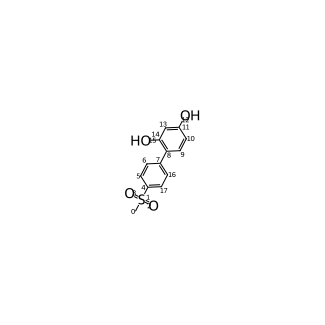 CS(=O)(=O)c1ccc(-c2ccc(O)cc2O)cc1